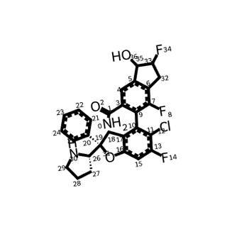 NC(=O)c1cc2c(c(F)c1-c1c(Cl)c(F)cc3c1C[C@](c1ccccc1)([C@@H]1CCCN1)O3)CC(F)C2O